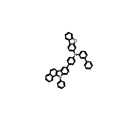 c1ccc(-c2cccc(N(c3ccc(-c4ccc5c(c4)c4ccc6ccccc6c4n5-c4ccccc4)cc3)c3ccc4c(c3)oc3ccccc34)c2)cc1